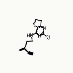 C#CC(=C)CCNc1nc(Cl)nc2c1SCC2